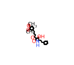 COc1ccc(CCCC(=O)C2=C(O)C(CCc3ccccc3)NC2=O)cc1OC